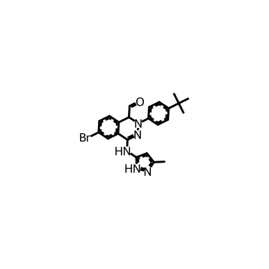 Cc1cc(NC2=NN(c3ccc(C(C)(C)C)cc3)C(C=O)c3ccc(Br)cc32)[nH]n1